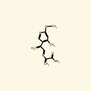 C=C(/N=C/C(=C)c1cnc(OC)cc1C)C(N)=O